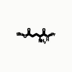 CC(C)NC(=O)[C@@H](N)CCC(=O)OC(C)(C)C